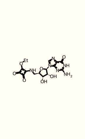 CCOc1c(NC[C@H]2O[C@@H](n3cnc4c(=O)[nH]c(N)nc43)[C@H](O)[C@@H]2O)c(=O)c1=O